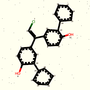 Oc1ccc(C(=CCl)c2ccc(O)c(-c3ccccc3)c2)cc1-c1ccccc1